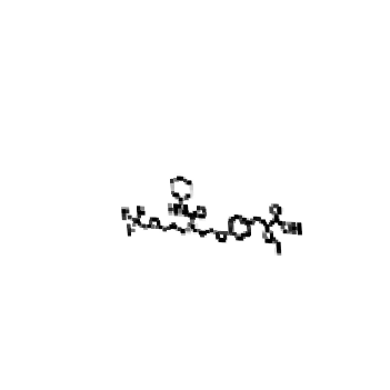 CCOC(Cc1ccc(OCCN(CCCOCC(F)(F)F)C(=O)NC2CCCCC2)cc1)C(=O)O